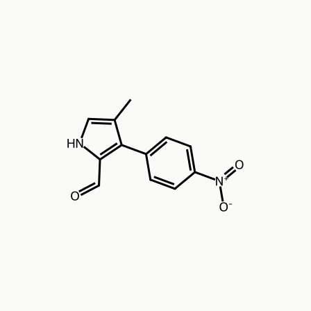 Cc1c[nH]c(C=O)c1-c1ccc([N+](=O)[O-])cc1